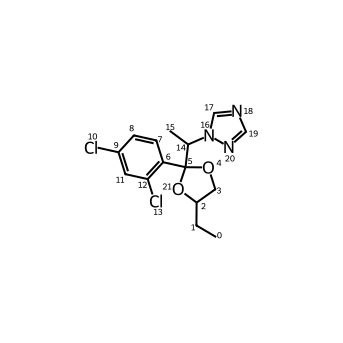 CCC1COC(c2ccc(Cl)cc2Cl)(C(C)n2cncn2)O1